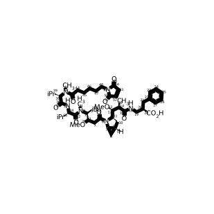 CC[C@H](C)[C@@H](C(CC(=O)N1C2C[C@@H]2C[C@H]1[C@H](OC)[C@@H](C)C(=O)NC[C@@H](Cc1ccccc1)C(=O)O)OC)N(C)C(=O)[C@@H](NC(=O)[C@H](C(C)C)N(C)C(=O)CCCCCN1C(=O)C=CC1=O)C(C)C